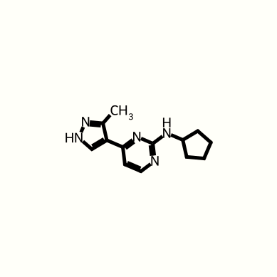 Cc1n[nH]cc1-c1ccnc(NC2CCCC2)n1